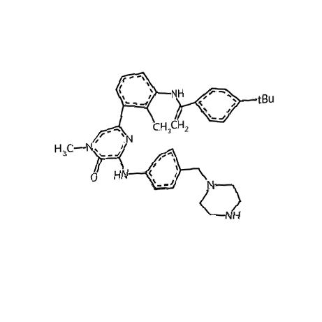 C=C(Nc1cccc(-c2cn(C)c(=O)c(Nc3ccc(CN4CCNCC4)cc3)n2)c1C)c1ccc(C(C)(C)C)cc1